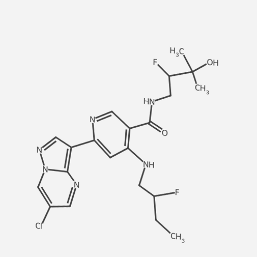 CCC(F)CNc1cc(-c2cnn3cc(Cl)cnc23)ncc1C(=O)NCC(F)C(C)(C)O